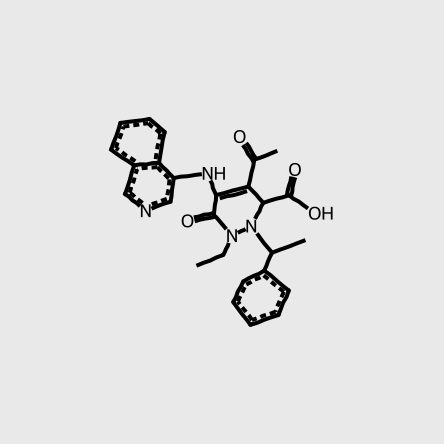 CCN1C(=O)C(Nc2cncc3ccccc23)=C(C(C)=O)C(C(=O)O)N1C(C)c1ccccc1